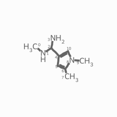 CNC(N)c1cc(C)n(C)c1